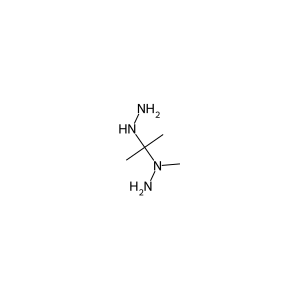 CN(N)C(C)(C)NN